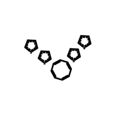 C1=CC=CC=CC=C1.c1ccsc1.c1ccsc1.c1ccsc1.c1ccsc1